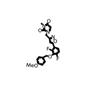 COc1ccc(COc2c(F)ccc(-c3cc(Cn4ccc(=O)n(C)c4=O)no3)c2F)cc1